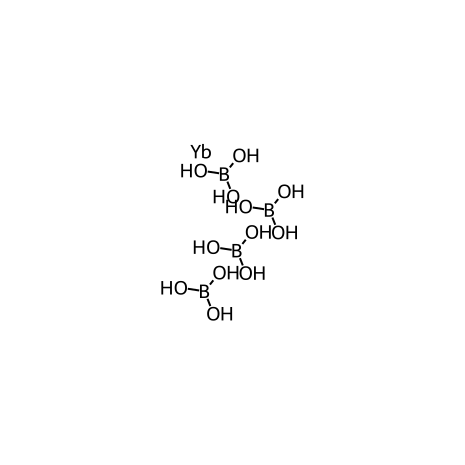 OB(O)O.OB(O)O.OB(O)O.OB(O)O.[Yb]